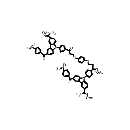 CCN(CC)c1ccc(C(=O)c2ccc3c(c2)c2cc(C(C)=NOC(C)=O)ccc2n3-c2ccc(C(=O)CCOc3ccc(OCC/C(=N/OC(C)=O)c4ccc(-n5c6ccc(C(=O)c7ccc(N(CC)CC)cc7)cc6c6cc(C(C)=NOC(C)=O)ccc65)cc4)cc3)cc2)cc1